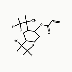 C=CC(=O)OC1CCC(C(C)(O)C(F)(F)F)CC1C(C)(O)C(F)(F)F